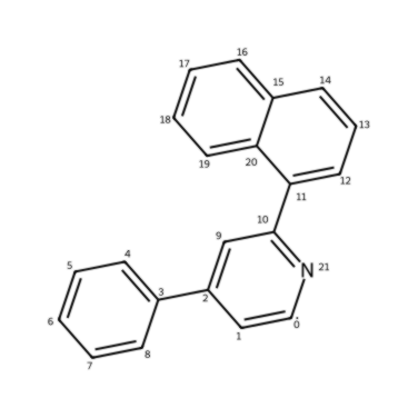 [c]1cc(-c2ccccc2)cc(-c2cccc3ccccc23)n1